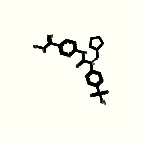 CS(=O)(=O)c1ccc([C@@H](CC2CCCC2)C(=O)Nc2cnc(C(=N)NO)cn2)cc1